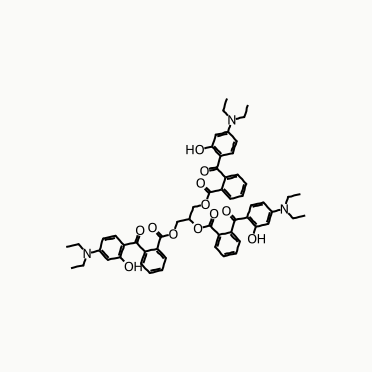 CCN(CC)c1ccc(C(=O)c2ccccc2C(=O)OCC(COC(=O)c2ccccc2C(=O)c2ccc(N(CC)CC)cc2O)OC(=O)c2ccccc2C(=O)c2ccc(N(CC)CC)cc2O)c(O)c1